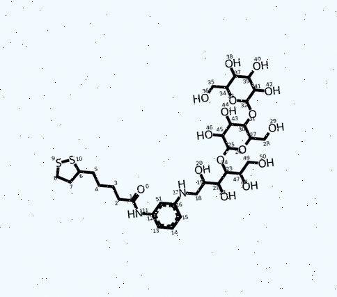 O=C(CCCCC1CCSS1)Nc1cccc(NCC(O)C(O)C(OC2OC(CO)C(OC3OC(CO)C(O)C(O)C3O)C(O)C2O)C(O)CO)c1